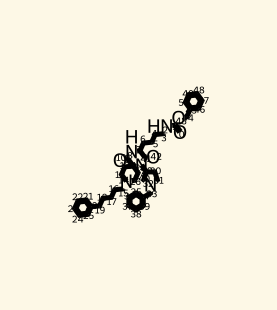 O=C(NCCCCC1NC(=O)C2(CCN(CCCCCc3ccccc3)CC2)N(C2CCN(Cc3ccccc3)C2)C1=O)OCc1ccccc1